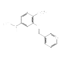 CCCNc1ccc(OC)c(OCc2cccnc2)c1